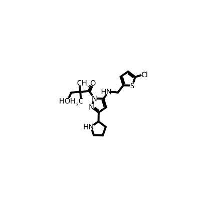 CC(C)(CO)C(=O)n1nc(C2CCCN2)cc1NCc1ccc(Cl)s1